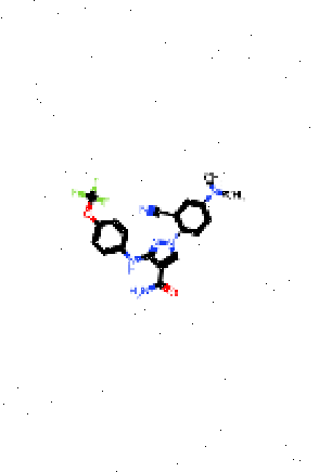 CN(C)[C@H]1CC[C@H](n2cc(C(N)=O)c(Nc3ccc(OC(F)(F)F)cc3)n2)[C@@H](C#N)C1